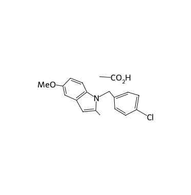 CC(=O)O.COc1ccc2c(c1)cc(C)n2Cc1ccc(Cl)cc1